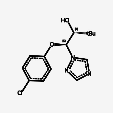 CC(C)(C)[C@@H](O)[C@H](Oc1ccc(Cl)cc1)n1cncn1